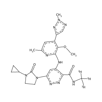 [2H]C([2H])([2H])NC(=O)c1nnc(N2CCN(C3CC3)C2=O)cc1Nc1nc(C)cc(-c2cnn(C)n2)c1OC